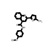 CCOc1ccc(NC(=O)c2cc(-c3ccc(C)o3)nc3ccccc23)cc1